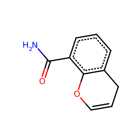 NC(=O)c1cccc2c1OC=CC2